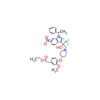 CCOC(=O)Cc1ccc(OC2CCN(CC(O)(c3cn(C(C)c4ccccc4)c4cc([N+](=O)[O-])ccc34)C(F)(F)F)CC2)c(OC)c1